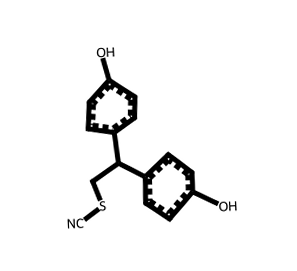 N#CSCC(c1ccc(O)cc1)c1ccc(O)cc1